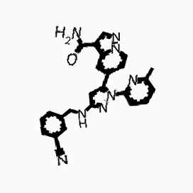 Cc1cccc(-n2nc(NCc3cccc(C#N)c3)cc2-c2ccn3ncc(C(N)=O)c3c2)n1